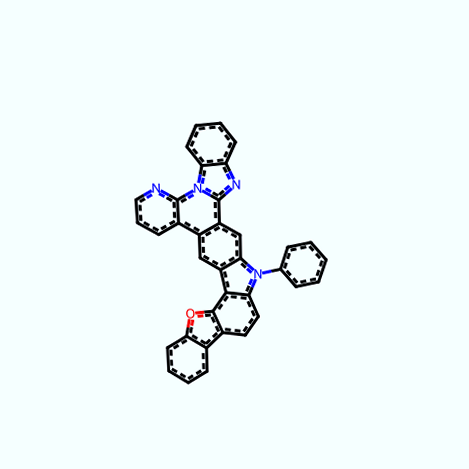 c1ccc(-n2c3cc4c(cc3c3c5oc6ccccc6c5ccc32)c2cccnc2n2c3ccccc3nc42)cc1